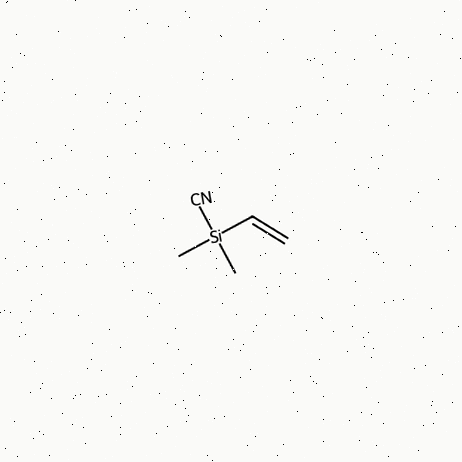 C=C[Si](C)(C)C#N